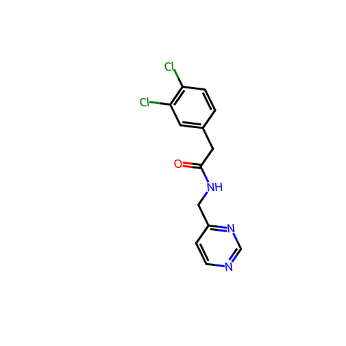 O=C(Cc1ccc(Cl)c(Cl)c1)NCc1ccncn1